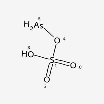 O=S(=O)(O)O[AsH2]